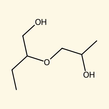 CCC(CO)OCC(C)O